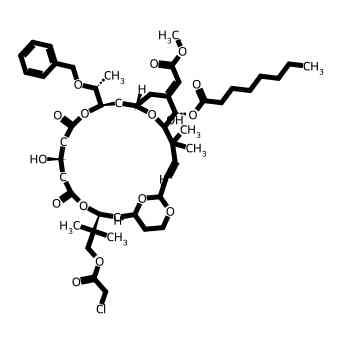 CCCCCCCC(=O)O[C@H]1/C(=C/C(=O)OC)C[C@H]2C[C@H]([C@@H](C)OCc3ccccc3)OC(=O)C[C@H](O)CC(=O)O[C@H](C(C)(C)COC(=O)CCl)C[C@@H]3CCO[C@H](/C=C/C(C)(C)[C@]1(O)O2)O3